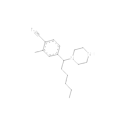 CCCCCC(c1ccc(C#N)c(C)c1)N1CCNCC1